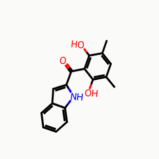 Cc1cc(C)c(O)c(C(=O)c2cc3ccccc3[nH]2)c1O